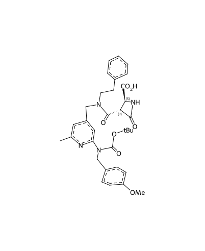 COc1ccc(CN(C(=O)OC(C)(C)C)c2cc(CN(CCc3ccccc3)C(=O)[C@H]3C(=O)N[C@@H]3C(=O)O)cc(C)n2)cc1